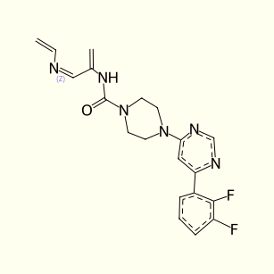 C=C/N=C\C(=C)NC(=O)N1CCN(c2cc(-c3cccc(F)c3F)ncn2)CC1